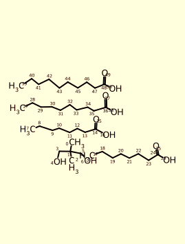 CC(C)(CO)CO.CCCCCCCC(=O)O.CCCCCCCC(=O)O.CCCCCCCCCC(=O)O.CCCCCCCCCC(=O)O